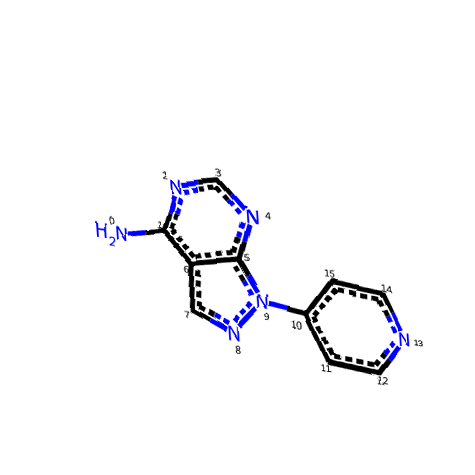 Nc1ncnc2c1cnn2-c1ccncc1